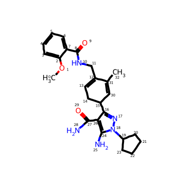 COc1ccccc1C(=O)NCC1=CCC(c2nn(C3CCCC3)c(N)c2C(N)=O)C=C1C